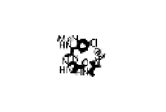 CNc1cc(Cl)ccc1C(=N)c1cnc2[nH]cc(C(=O)NC(C)C3CN([S+](C)[O-])C3)c2n1